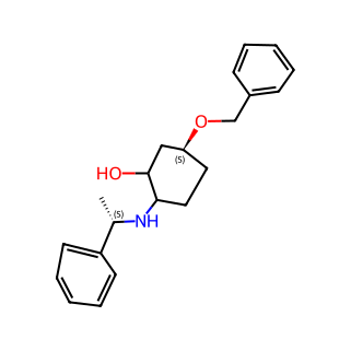 C[C@H](NC1CC[C@H](OCc2ccccc2)CC1O)c1ccccc1